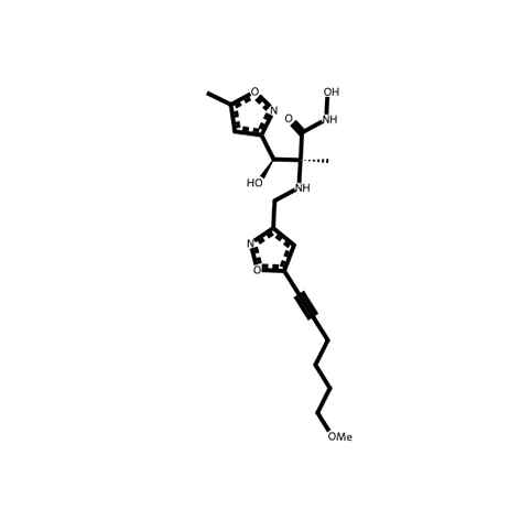 COCCCCC#Cc1cc(CN[C@](C)(C(=O)NO)[C@@H](O)c2cc(C)on2)no1